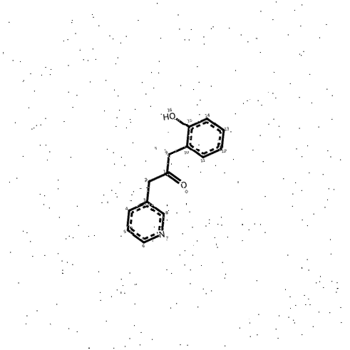 O=C(Cc1cccnc1)Cc1ccccc1O